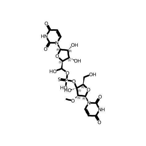 CO[C@H]1[C@H](n2ccc(=O)[nH]c2=O)O[C@H](CO)[C@]1(O)OP(O)(=S)OC(O)[C@H]1O[C@@H](n2ccc(=O)[nH]c2=O)[C@H](O)[C@@H]1O